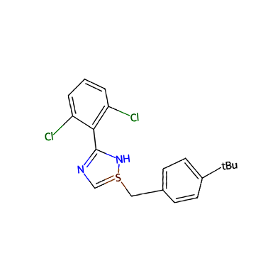 CC(C)(C)c1ccc(CS2=CN=C(c3c(Cl)cccc3Cl)N2)cc1